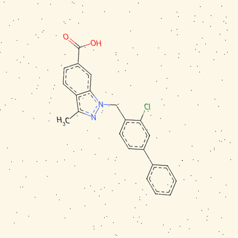 Cc1nn(Cc2ccc(-c3ccccc3)cc2Cl)c2cc(C(=O)O)ccc12